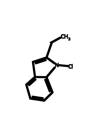 C[CH]c1cc2ccccc2n1Cl